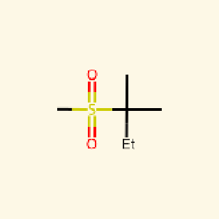 [CH2]CC(C)(C)S(C)(=O)=O